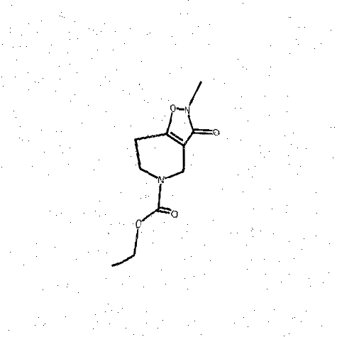 CCOC(=O)N1CCc2on(C)c(=O)c2C1